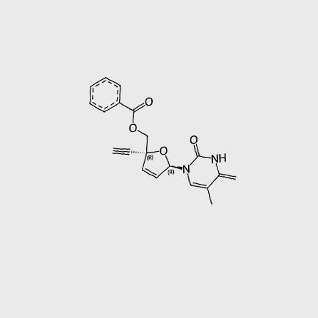 C#C[C@@]1(COC(=O)c2ccccc2)C=C[C@H](N2C=C(C)C(=C)NC2=O)O1